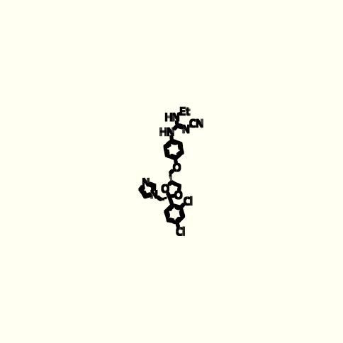 CCNC(=NC#N)Nc1ccc(OC[C@@H]2CO[C@@](Cn3ccnc3)(c3ccc(Cl)cc3Cl)O2)cc1